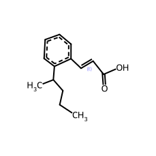 CCCC(C)c1ccccc1/C=C/C(=O)O